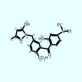 CCN(CC)c1ccc(C(=O)c2cc(Cn3nc(C)cc3O)ccc2C(=O)O)c(O)c1